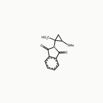 CSC1CC1(C(=O)O)N1C(=O)c2ccccc2C1=O